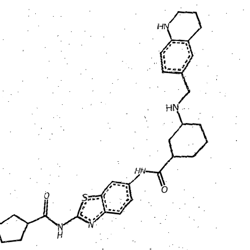 O=C(Nc1ccc2nc(NC(=O)C3CCCC3)sc2c1)C1CCCC(NCc2ccc3c(c2)CCCN3)C1